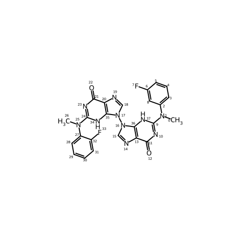 CN(c1cccc(F)c1)c1nc(=O)c2ncn(-n3cnc4c(=O)nc(N(C)c5ccccc5F)[nH]c43)c2[nH]1